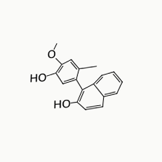 COc1cc(C)c(-c2c(O)ccc3ccccc23)cc1O